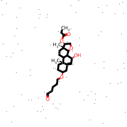 CCC(=O)O[C@H]1COC2C3C(CC[C@@]21C)[C@@]1(C)CC[C@H](OCCCCC=O)CC1=C[C@@H]3O